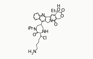 CC[C@@]1(O)C(=O)OCc2c1cc1n(c2=O)Cc2c-1nc1ccccc1c2C1CN[C@@H](C(Cl)CCCCN)C(=O)N(C(C)C)C1